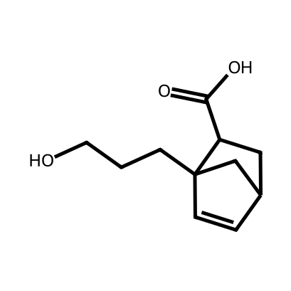 O=C(O)C1CC2C=CC1(CCCO)C2